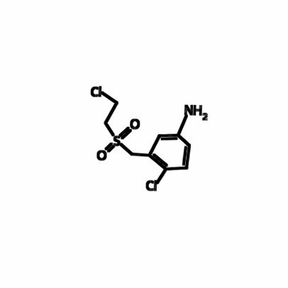 Nc1ccc(Cl)c(CS(=O)(=O)CCCl)c1